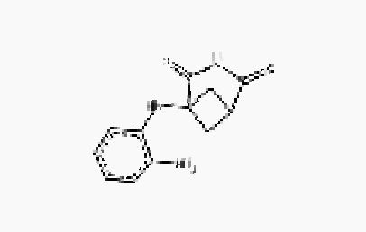 Nc1ccccc1NC12CC(C1)C(=O)NC2=O